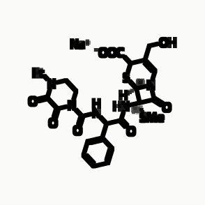 CCN1CCN(C(=O)NC(C(=O)N[C@]2(SC)C(=O)N3C=C(CO)C(C(=O)[O-])S[C@@H]32)c2ccccc2)C(=O)C1=O.[Na+]